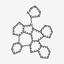 c1ccc(-n2c3cccc4c3c3c5c(cc6ccccc6c5c5ccccc5c32)-c2ccccc2-4)nc1